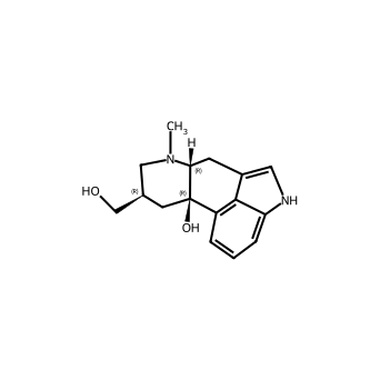 CN1C[C@H](CO)C[C@@]2(O)c3cccc4[nH]cc(c34)C[C@@H]12